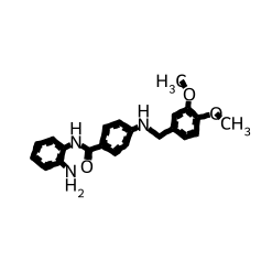 COc1ccc(CNc2ccc(C(=O)Nc3ccccc3N)cc2)cc1OC